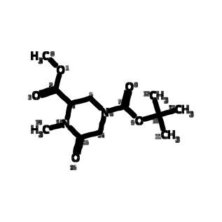 COC(=O)C1CN(C(=O)OC(C)(C)C)CC(=O)N1C